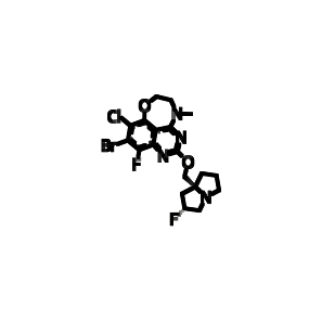 CN1CCOc2c(Cl)c(Br)c(F)c3nc(OC[C@@]45CCCN4C[C@H](F)C5)nc1c23